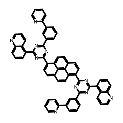 c1ccc(-c2cccc(-c3nc(-c4cccc5ncccc45)nc(-c4ccc5ccc6c(-c7nc(-c8cccc(-c9ccccn9)c8)nc(-c8cccc9ncccc89)n7)ccc7ccc4c5c76)n3)c2)nc1